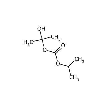 CC(C)OC(=O)OC(C)(C)O